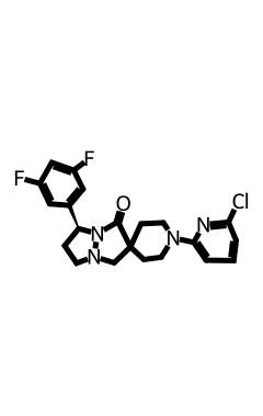 O=C1N2[C@H](c3cc(F)cc(F)c3)CCN2CC12CCN(c1cccc(Cl)n1)CC2